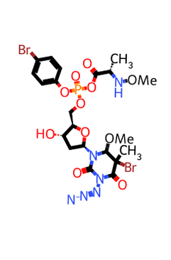 CON[C@@H](C)C(=O)OP(=O)(OC[C@H]1O[C@@H](N2C(=O)N(N=[N+]=[N-])C(=O)C(C)(Br)C2OC)C[C@@H]1O)Oc1ccc(Br)cc1